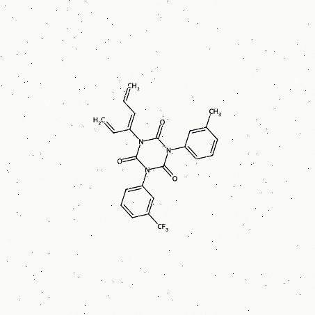 C=C/C=C(\C=C)n1c(=O)n(-c2cccc(C)c2)c(=O)n(-c2cccc(C(F)(F)F)c2)c1=O